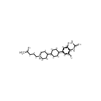 CC(F)CCC[SiH]1CCC(C2CCC(c3cc(F)c(OC(F)F)c(F)c3)CC2)CC1